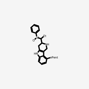 CCCCCc1cccc2[nH]c3c(c12)CNC(C(CC)[S+]([O-])c1ccccc1)C3